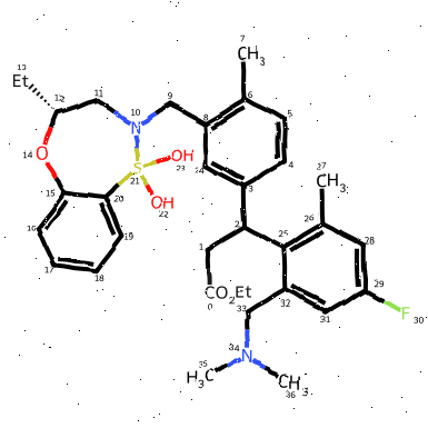 CCOC(=O)CC(c1ccc(C)c(CN2C[C@@H](CC)Oc3ccccc3S2(O)O)c1)c1c(C)cc(F)cc1CN(C)C